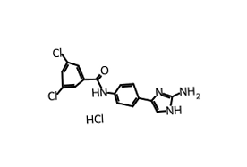 Cl.Nc1nc(-c2ccc(NC(=O)c3cc(Cl)cc(Cl)c3)cc2)c[nH]1